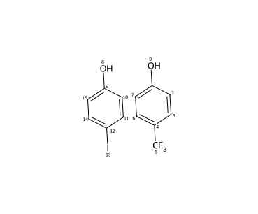 Oc1ccc(C(F)(F)F)cc1.Oc1ccc(I)cc1